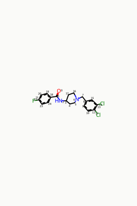 O=C(NC1CCN(Cc2ccc(Cl)c(Cl)c2)CC1)c1ccc(F)cc1